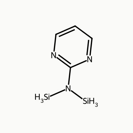 [SiH3]N([SiH3])c1ncccn1